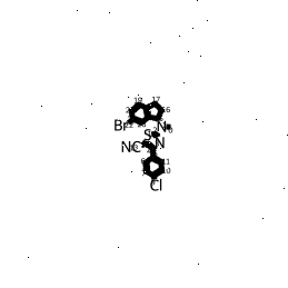 CN(c1nc(-c2ccc(Cl)cc2)c(C#N)s1)C1CCc2ccc(Br)cc21